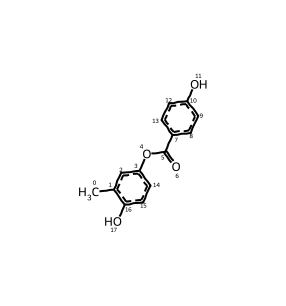 Cc1cc(OC(=O)c2ccc(O)cc2)ccc1O